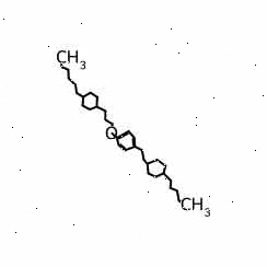 CCCCCCC1CCC(CCCOc2ccc(CCC3CCC(CCCCC)CC3)cc2)CC1